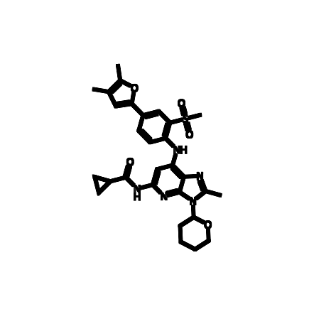 Cc1cc(-c2ccc(Nc3cc(NC(=O)C4CC4)nc4c3nc(C)n4C3CCCCO3)c(S(C)(=O)=O)c2)oc1C